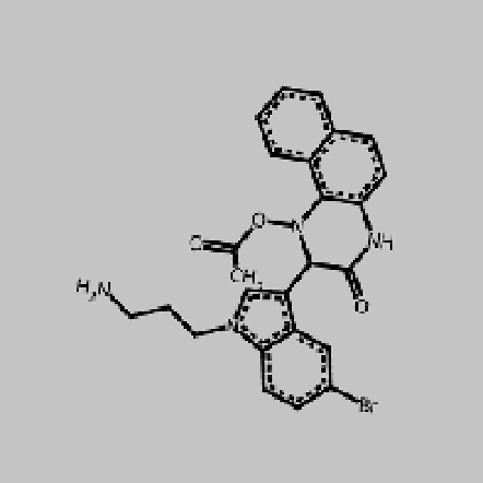 CC(=O)ON1c2c(ccc3ccccc23)NC(=O)C1c1cn(CCCN)c2ccc(Br)cc12